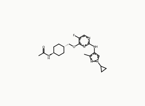 CC(=O)N[C@H]1CC[C@H](COc2nc(Nc3cn(C4CC4)nc3C)ncc2F)CC1